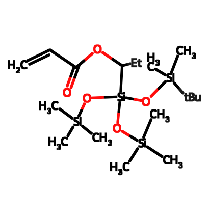 C=CC(=O)OC(CC)[Si](O[Si](C)(C)C)(O[Si](C)(C)C)O[Si](C)(C)C(C)(C)C